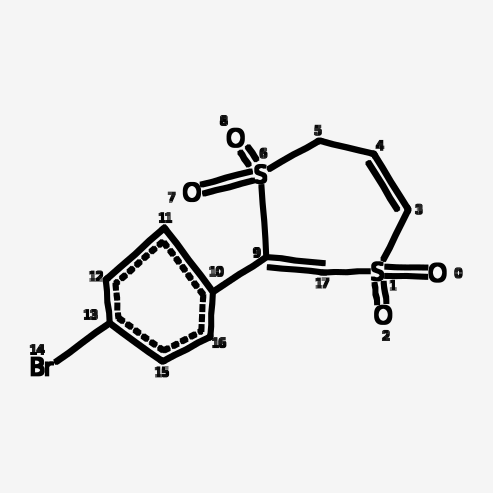 O=S1(=O)C=CCS(=O)(=O)C(c2ccc(Br)cc2)=C1